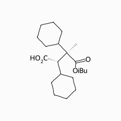 CC(C)COC(=O)[C@](C)(C1CCCCC1)[C@@H](C(=O)O)C1CCCCC1